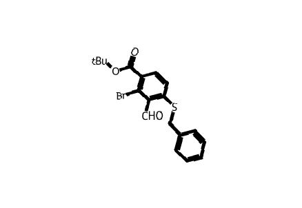 CC(C)(C)OC(=O)c1ccc(SCc2ccccc2)c(C=O)c1Br